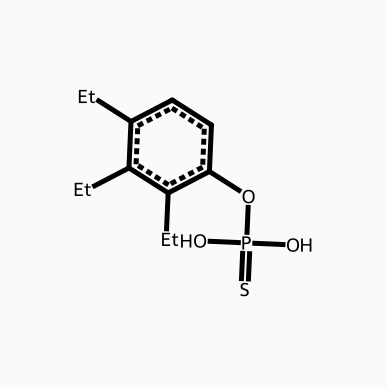 CCc1ccc(OP(O)(O)=S)c(CC)c1CC